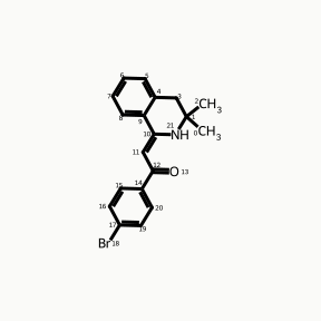 CC1(C)Cc2ccccc2C(=CC(=O)c2ccc(Br)cc2)N1